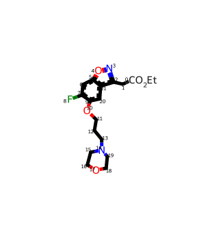 CCOC(=O)Cc1noc2cc(F)c(OCCCN3CCOCC3)cc12